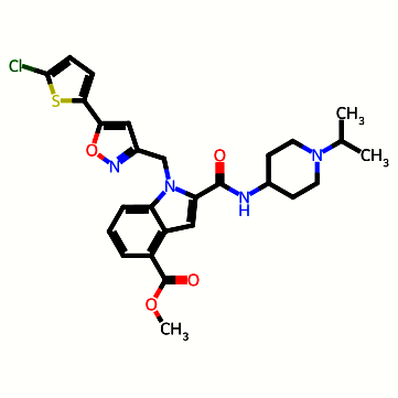 COC(=O)c1cccc2c1cc(C(=O)NC1CCN(C(C)C)CC1)n2Cc1cc(-c2ccc(Cl)s2)on1